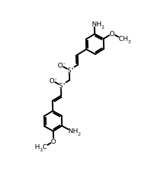 COc1ccc(C=C[S+]([O-])C[S+]([O-])C=Cc2ccc(OC)c(N)c2)cc1N